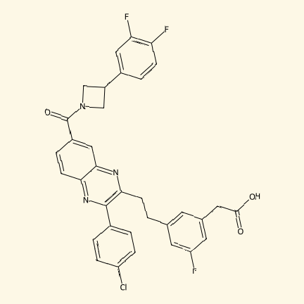 O=C(O)Cc1cc(F)cc(CCc2nc3cc(C(=O)N4CC(c5ccc(F)c(F)c5)C4)ccc3nc2-c2ccc(Cl)cc2)c1